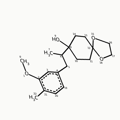 COc1cc(CC(C)C2(O)CCC3(CC2)OCCO3)ccc1C